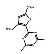 CCCCCCc1cc(CCCCCC)c(-c2nc(C)nc(C)n2)s1